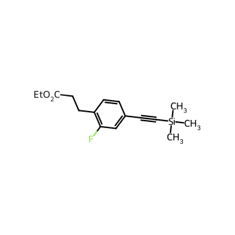 CCOC(=O)CCc1ccc(C#C[Si](C)(C)C)cc1F